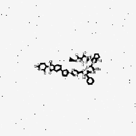 CCC[C@@H](NC(=O)[C@@H]1[C@H]2CCC[C@H]2CN1C(=O)[C@@H](NC(=O)[C@@H](NC(=O)c1cnc([C@H]2CCC(c3ccc4c(c3)C(=O)N(C3CCC(=O)NC3=O)C4=O)C2)cn1)C1CCCCC1)C(C)(C)C)C(O)C(=O)NC1CC1